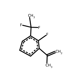 C=C(C)c1cccc(C(C)(F)F)c1F